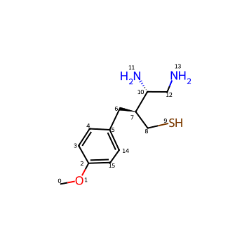 COc1ccc(C[C@H](CS)[C@H](N)CN)cc1